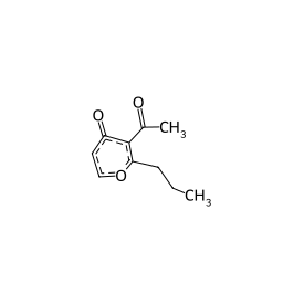 CCCc1occc(=O)c1C(C)=O